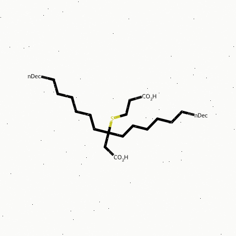 CCCCCCCCCCCCCCCCC(CCCCCCCCCCCCCCCC)(CC(=O)O)SCCC(=O)O